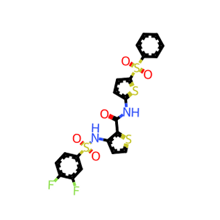 O=C(Nc1ccc(S(=O)(=O)c2ccccc2)s1)c1sccc1NS(=O)(=O)c1ccc(F)c(F)c1